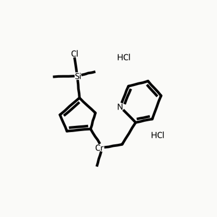 Cl.Cl.[CH3][Cr]([CH2]c1ccccn1)[C]1=CC=C([Si](C)(C)Cl)C1